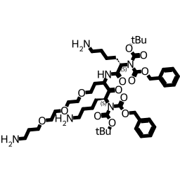 CC(C)(C)OC(=O)N(C(=O)OCc1ccccc1)[C@@H](CCCCN)C(=O)NC(CCOCCOCCOCCCN)C(=O)[C@H](CCCCN)N(C(=O)OCc1ccccc1)C(=O)OC(C)(C)C